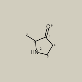 CC1NCCC1=O